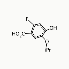 CC(C)Oc1cc(C(=O)O)c(F)cc1O